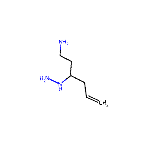 C=CCC(CCN)NN